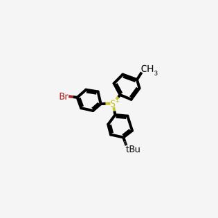 Cc1ccc([S+](c2ccc(Br)cc2)c2ccc(C(C)(C)C)cc2)cc1